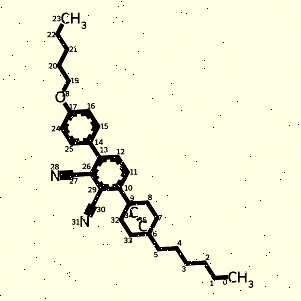 CCCCCCC12CCC(c3ccc(-c4ccc(OCCCCC)cc4)c(C#N)c3C#N)(CC1)CC2